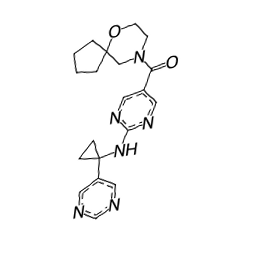 O=C(c1cnc(NC2(c3cncnc3)CC2)nc1)N1CCOC2(CCCC2)C1